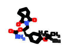 CC(C)(C)[Si](C)(C)Oc1ccc(C[C@@H](CN2C(=O)c3ccccc3C2=O)OC(N)=O)cc1